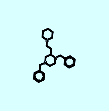 c1ccc(CN2CCN(Cc3ccccc3)C(CCN3CCCCC3)C2)cc1